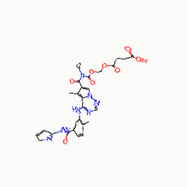 Cc1ccc(C(=O)NC2=NCC=C2)cc1Nc1ncnn2cc(C(=O)N(C(=O)OCOC(=O)CCC(=O)O)C3CC3)c(C)c12